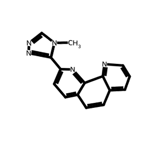 Cn1cnnc1-c1ccc2ccc3cccnc3c2n1